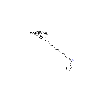 CCCCCCCCCOC(CCCCCCCCC/C=C\CCBr)OCCCCCCCCC